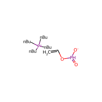 C=CO[PH](=O)[O-].CCCC[P+](CCCC)(CCCC)CCCC